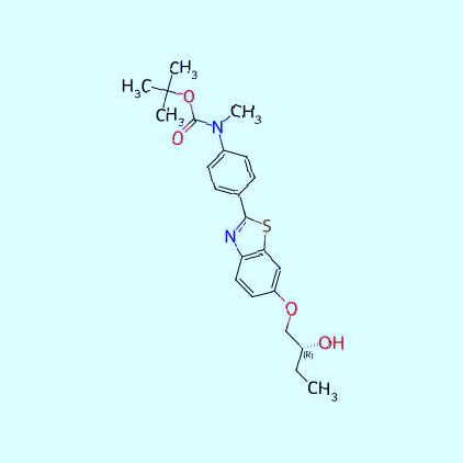 CC[C@@H](O)COc1ccc2nc(-c3ccc(N(C)C(=O)OC(C)(C)C)cc3)sc2c1